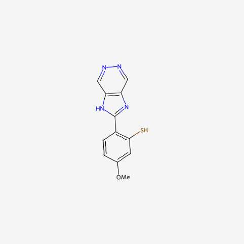 COc1ccc(-c2nc3cnncc3[nH]2)c(S)c1